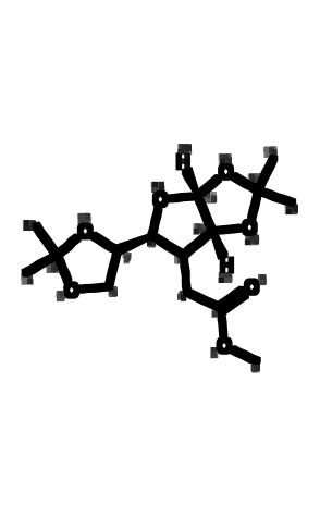 COC(=O)CC1[C@@H](C2COC(C)(C)O2)O[C@@H]2OC(C)(C)O[C@H]12